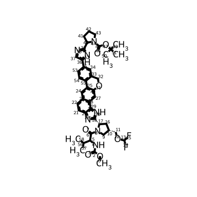 COC(=O)NC(C(=O)N1C[C@@H](COC(F)F)C[C@H]1c1nc2ccc3cc4c(cc3c2[nH]1)OCc1cc(-c2cnc(C3CCCN3C(=O)OC(C)(C)C)[nH]2)ccc1-4)C(C)C